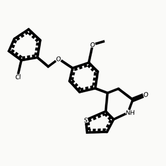 COc1cc(C2CC(=O)Nc3ccsc32)ccc1OCc1ccccc1Cl